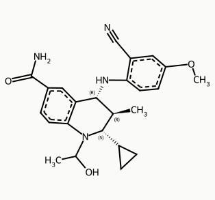 COc1ccc(N[C@H]2c3cc(C(N)=O)ccc3N(C(C)O)[C@@H](C3CC3)[C@@H]2C)c(C#N)c1